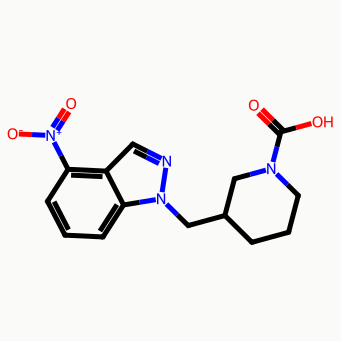 O=C(O)N1CCCC(Cn2ncc3c([N+](=O)[O-])cccc32)C1